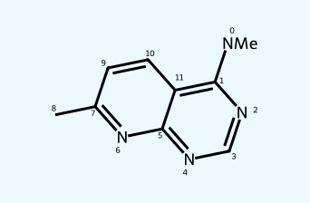 CNc1ncnc2nc(C)ccc12